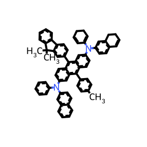 Cc1ccc(-c2c3ccc(N(C4=CCCC=C4)c4ccc5c(c4)CCC=C5)cc3c(-c3ccc4c(c3)C(C)(C)c3ccccc3-4)c3ccc(N(c4ccccc4)c4ccc5ccccc5c4)cc23)cc1